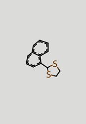 c1ccc2c(C3SCCS3)cccc2c1